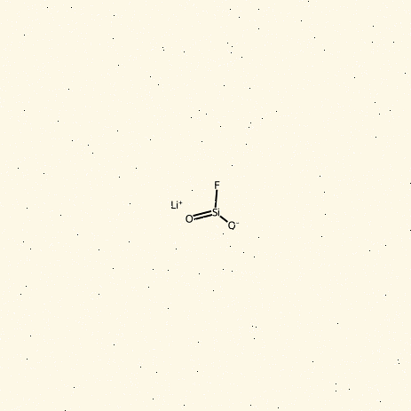 O=[Si]([O-])F.[Li+]